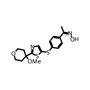 COC1(c2ncc(Sc3ccc(/C(C)=N\O)cc3)s2)CCOCC1